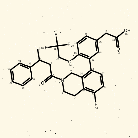 CC(CC(=O)N1CCc2c(F)ccc(-c3cc(CC(=O)O)ccc3OCC(F)(F)F)c2C1)c1ccccc1